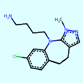 Cn1ncc2c1N(CCCCN)c1cc(Cl)ccc1CC2